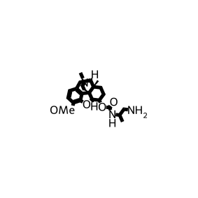 COc1ccc2c3c1O[C@H]1C(OC(=O)NC(C)CN)CC[C@@]4(C)[C@@H](C2)N(C)CC[C@]314